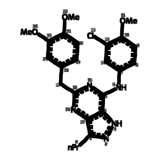 CCCc1n[nH]c2c(Nc3ccc(OC)c(Cl)c3)nc(Cc3ccc(OC)c(OC)c3)nc12